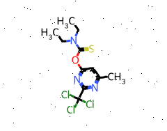 CCN(CC)C(=S)Oc1cc(C)nc(C(Cl)(Cl)Cl)n1